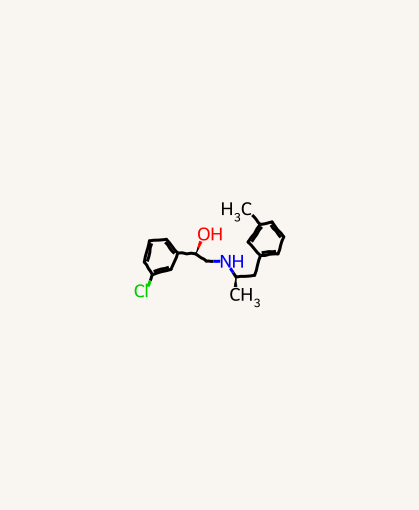 Cc1cccc(C[C@@H](C)NC[C@H](O)c2cccc(Cl)c2)c1